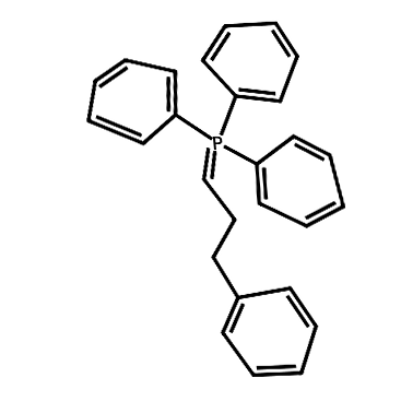 C(CCc1ccccc1)=P(c1ccccc1)(c1ccccc1)c1ccccc1